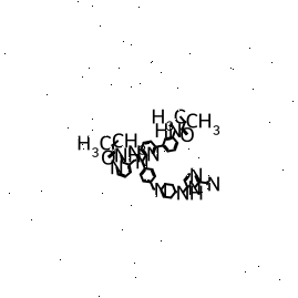 CC(C)C(=O)Nc1cccc(-c2ccc3nc(-c4cccnc4NC(=O)C(C)C)n(-c4ccc(CN5CCC(Nc6ccnc(C#N)n6)CC5)cc4)c3n2)c1